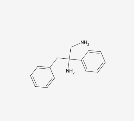 NCC(N)(Cc1ccccc1)c1ccccc1